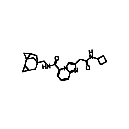 O=C(Cc1cn2c(C(=O)NCC34CC5CC5C5(CC5C3)C4)cccc2n1)NC1CCC1